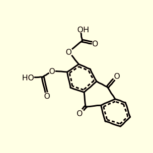 O=C(O)Oc1cc2c(cc1OC(=O)O)C(=O)c1ccccc1C2=O